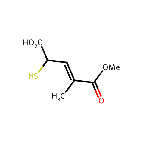 COC(=O)C(C)=CC(S)C(=O)O